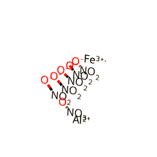 O=[N+]([O-])[O-].O=[N+]([O-])[O-].O=[N+]([O-])[O-].O=[N+]([O-])[O-].O=[N+]([O-])[O-].O=[N+]([O-])[O-].[Al+3].[Fe+3]